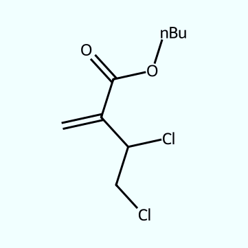 C=C(C(=O)OCCCC)C(Cl)CCl